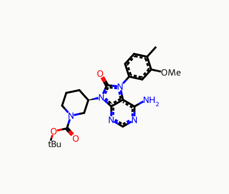 COc1cc(-n2c(=O)n([C@@H]3CCCN(C(=O)OC(C)(C)C)C3)c3ncnc(N)c32)ccc1C